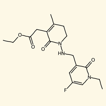 CCOC(=O)CC1=C(C)CCN(NCc2cc(F)cn(CC)c2=O)C1=O